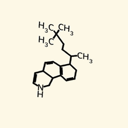 CC(CCC(C)(C)C)C1CC=CC2=C1C=CC1C=CNCC21